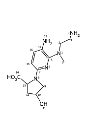 CN(CCN)c1nc(N2CC(O)CC2C(=O)O)ccc1N